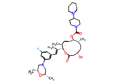 C/C(=C\c1cc(F)cc(N2C[C@@H](C)O[C@@H](C)C2)c1)[C@H]1OC(=O)C[C@@H](O)CC[C@@H](C)[C@H](OC(=O)N2CCC(N3CCCCC3)CC2)/C=C/[C@@H]1C